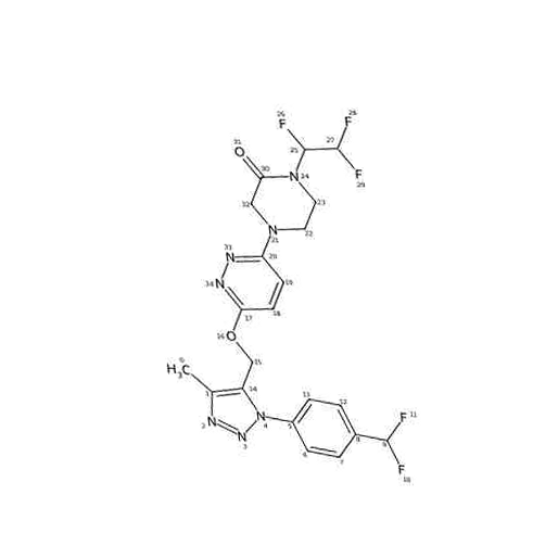 Cc1nnn(-c2ccc(C(F)F)cc2)c1COc1ccc(N2CCN(C(F)C(F)F)C(=O)C2)nn1